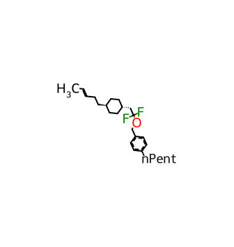 C/C=C/CC[C@H]1CC[C@H](CC(F)(F)OCc2ccc(CCCCC)cc2)CC1